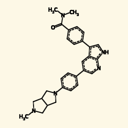 CN1CC2CN(c3ccc(-c4cnc5[nH]cc(-c6ccc(C(=O)N(C)C)cc6)c5c4)cc3)CC2C1